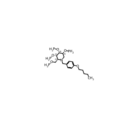 CCCCCOc1ccc(CN2C[C@H](OP)[C@@H](OP)[C@@H](OP)[C@@H]2COP)cc1